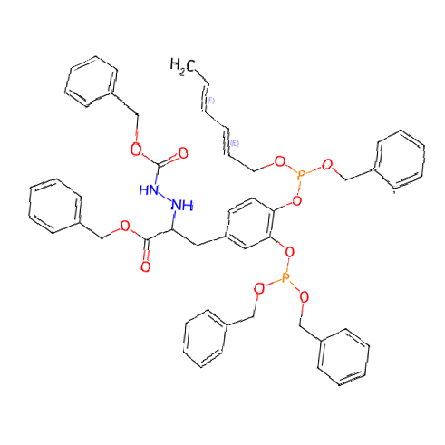 [CH2]/C=C/C=C/COP(OCc1[c]cccc1)Oc1ccc(CC(NNC(=O)OCc2ccccc2)C(=O)OCc2ccccc2)cc1OP(OCc1ccccc1)OCc1ccccc1